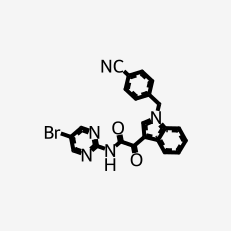 N#Cc1ccc(Cn2cc(C(=O)C(=O)Nc3ncc(Br)cn3)c3ccccc32)cc1